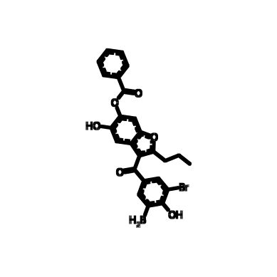 Bc1cc(C(=O)c2c(CCC)oc3cc(OC(=O)c4ccccc4)c(O)cc23)cc(Br)c1O